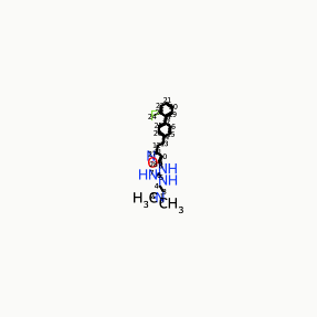 CN(C)CCNC(=N)Nc1cc(CCc2ccc(-c3ccccc3F)cc2)no1